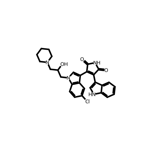 O=C1NC(=O)C(c2cn(CC(O)CN3CCCCC3)c3ccc(Cl)cc23)=C1c1c[nH]c2ccccc12